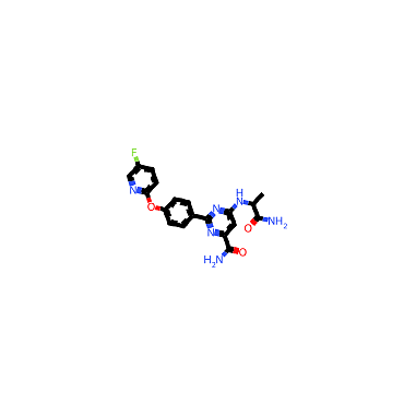 CC(Nc1cc(C(N)=O)nc(-c2ccc(Oc3ccc(F)cn3)cc2)n1)C(N)=O